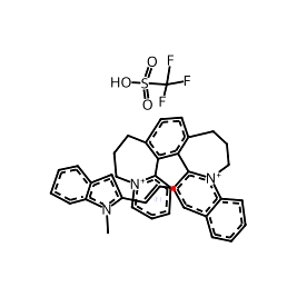 Cn1c(/C=C/c2cc3ccccc3[n+]3c2-c2c(ccc4c2-c2cccc[n+]2CCC4)CCC3)cc2ccccc21.O=S(=O)(O)C(F)(F)F